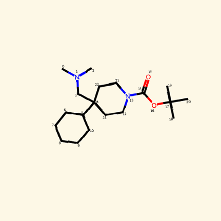 CN(C)CC1(C2CCCCC2)CCN(C(=O)OC(C)(C)C)CC1